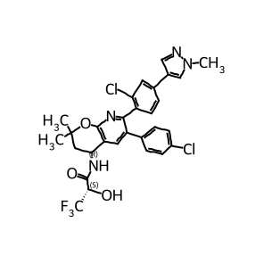 Cn1cc(-c2ccc(-c3nc4c(cc3-c3ccc(Cl)cc3)[C@H](NC(=O)[C@H](O)C(F)(F)F)CC(C)(C)O4)c(Cl)c2)cn1